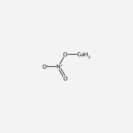 O=[N+]([O-])[O][GaH2]